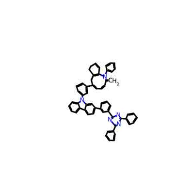 C=C1/C=C\C=C(\c2cccc(-n3c4ccccc4c4ccc(-c5cccc(-c6nc(-c7ccccc7)nc(-c7ccccc7)n6)c5)cc43)c2)CC2=C(C=CCC2)N1c1ccccc1